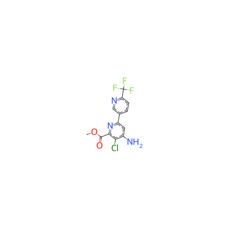 COC(=O)c1nc(-c2ccc(C(F)(F)F)nc2)cc(N)c1Cl